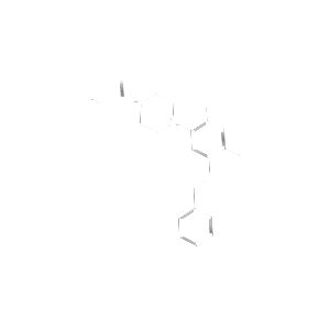 CC(C)(C)OC(=O)N1CCN(c2cc(OCc3ccccc3)c(F)cc2F)CC1